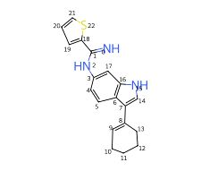 N=C(Nc1ccc2c(C3=CCCCC3)c[nH]c2c1)c1cccs1